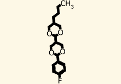 CCCCC1COC(C2COC(c3ccc(F)cc3)OC2)OC1